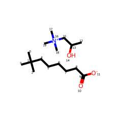 CC(C)(C)CCCCCC(=O)[O-].CC(O)C[N+](C)(C)C